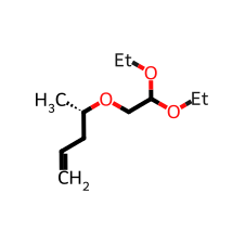 C=CC[C@H](C)OCC(OCC)OCC